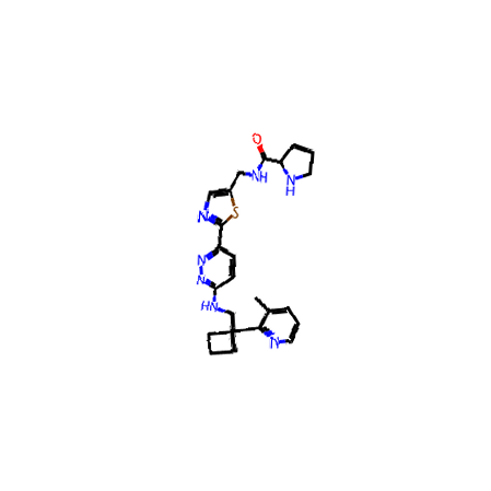 Cc1cccnc1C1(CNc2ccc(-c3ncc(CNC(=O)C4CCCN4)s3)nn2)CCC1